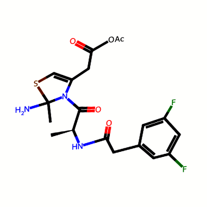 CC(=O)OC(=O)CC1=CSC(C)(N)N1C(=O)[C@H](C)NC(=O)Cc1cc(F)cc(F)c1